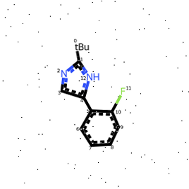 CC(C)(C)c1ncc(-c2ccccc2F)[nH]1